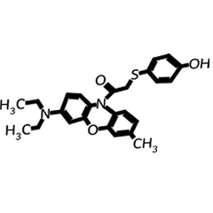 CCN(CC)c1ccc2c(c1)Oc1cc(C)ccc1N2C(=O)CSc1ccc(O)cc1